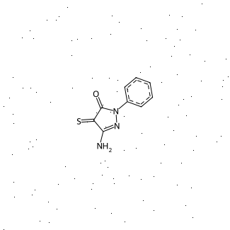 NC1=NN(c2ccccc2)C(=O)C1=S